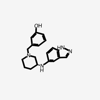 Oc1cccc(CN2CCC[C@@H](Nc3ccc4[nH]ncc4c3)C2)c1